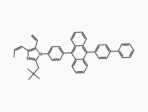 C=Cc1c(/C=C\C)nc(CC(C)(C)C)n1-c1ccc(-c2c3ccccc3c(-c3ccc(-c4ccccc4)cc3)c3ccccc23)cc1